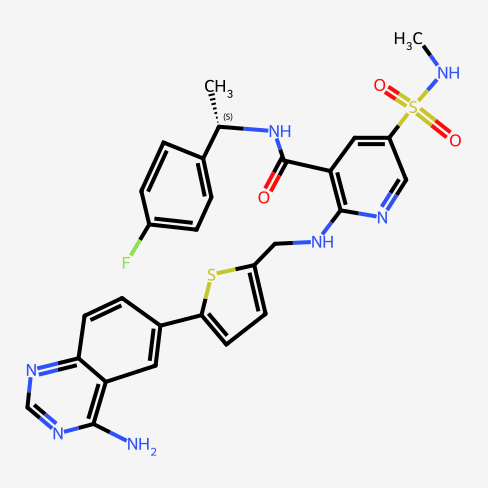 CNS(=O)(=O)c1cnc(NCc2ccc(-c3ccc4ncnc(N)c4c3)s2)c(C(=O)N[C@@H](C)c2ccc(F)cc2)c1